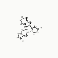 Cc1cccc(-c2nc3ncccn3c2-c2ccc3c(ccn3C)c2)n1